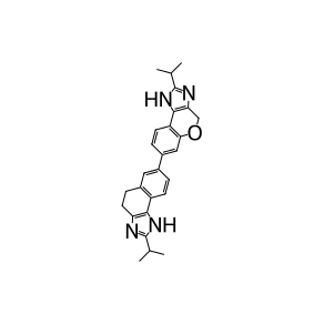 CC(C)c1nc2c([nH]1)-c1ccc(-c3ccc4c(c3)OCc3nc(C(C)C)[nH]c3-4)cc1CC2